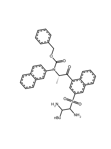 CCCCC(N)C(N)S(=O)(=O)c1cc(C(=O)[C@H](C)N(C(=O)OCc2ccccc2)c2ccc3ccccc3c2)c2ccccc2c1